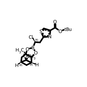 CC(C)(C)OC(=O)c1csc(C[C@H](Cl)B2OC3[C@@H]4C[C@H](C[C@]3(C)O2)C4(C)C)n1